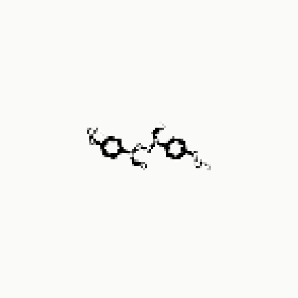 COc1ccc(N(C=O)SSN(C=O)c2ccc(OC)cc2)cc1